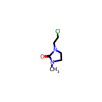 CN1CCN(CCCl)C1=O